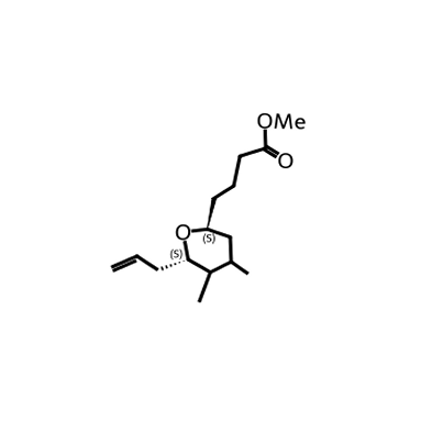 C=CC[C@@H]1O[C@@H](CCCC(=O)OC)CC(C)C1C